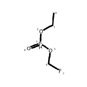 CCO[PH](=O)OCF